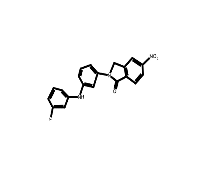 O=C1c2ccc([N+](=O)[O-])cc2CN1c1cccc(Nc2cccc(F)c2)c1